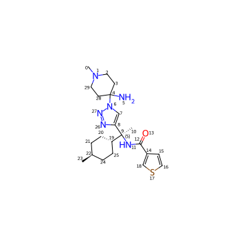 CN1CCC(N)(n2cc([C@@](C)(NC(=O)c3ccsc3)[C@H]3CC[C@H](C)CC3)nn2)CC1